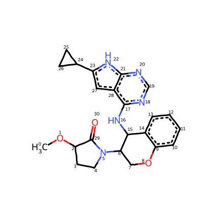 COC1CCN(C2COc3ccccc3C2Nc2ncnc3[nH]c(C4CC4)cc23)C1=O